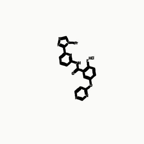 CC(C)n1cnnc1-c1cccc(NC(=O)c2cc(Oc3ccncn3)ccc2F)n1.Cl